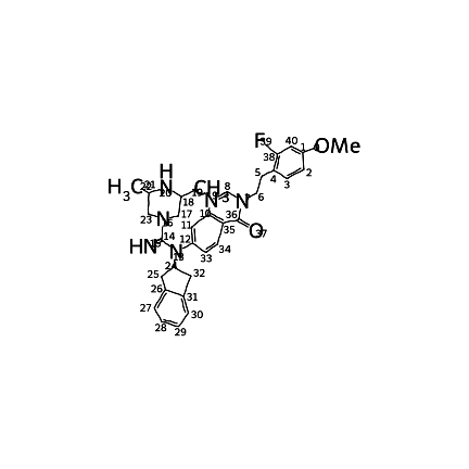 COc1ccc(CCn2cnc3cc(N(C(=N)N4CC(C)NC(C)C4)C4Cc5ccccc5C4)ccc3c2=O)c(F)c1